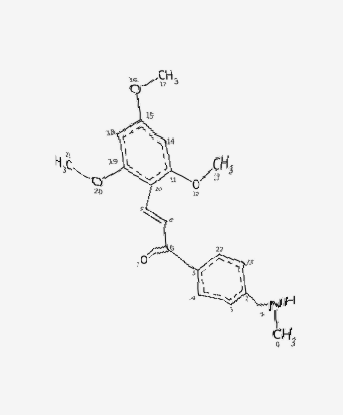 CNc1ccc(C(=O)C=Cc2c(OC)cc(OC)cc2OC)cc1